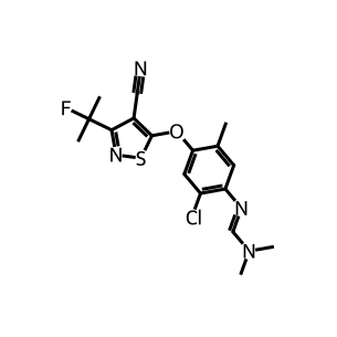 Cc1cc(N=CN(C)C)c(Cl)cc1Oc1snc(C(C)(C)F)c1C#N